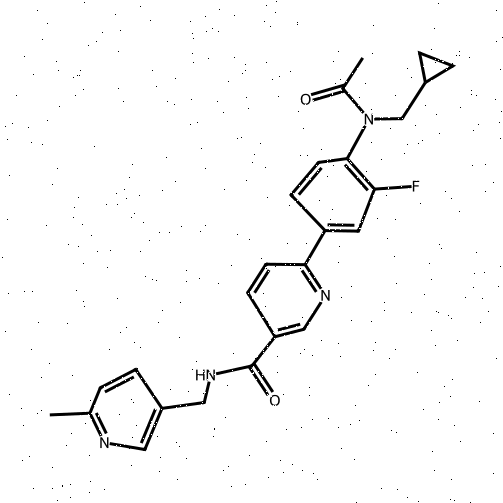 CC(=O)N(CC1CC1)c1ccc(-c2ccc(C(=O)NCc3ccc(C)nc3)cn2)cc1F